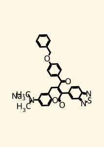 CN(C)c1cccc(CC(C(=O)c2ccc(OCc3ccccc3)cc2)=C(C(=O)[O-])c2ccc3nsnc3c2)c1.[Na+]